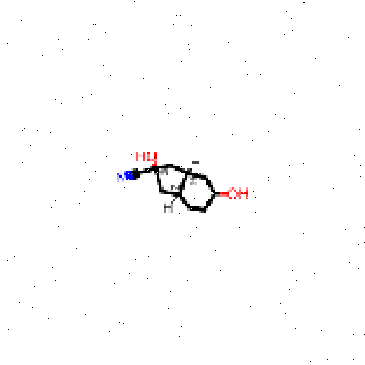 N#C[C@@]1(O)C[C@@H]2CCC(O)C[C@H]2C1